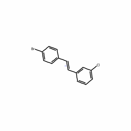 Clc1cc[c]c(/C=C/c2ccc(Br)cc2)c1